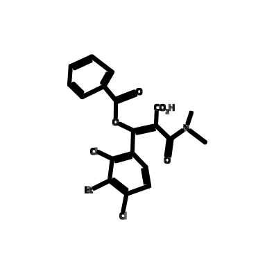 CCc1c(Cl)ccc(C(OC(=O)c2ccccc2)=C(C(=O)O)C(=O)N(C)C)c1Cl